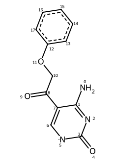 NC1=NC(=O)[N]C=C1C(=O)COc1ccccc1